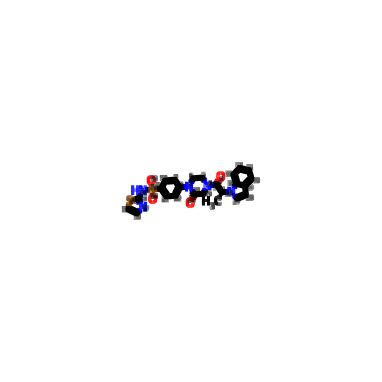 C[C@H](C(=O)N1CCN(c2ccc(S(=O)(=O)Nc3nccs3)cc2)C(=O)C1)n1ccc2ccccc21